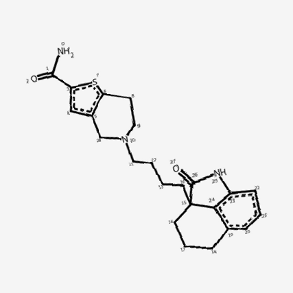 NC(=O)c1cc2c(s1)CCN(CCCCC13CCCc4cccc(c41)NC3=O)C2